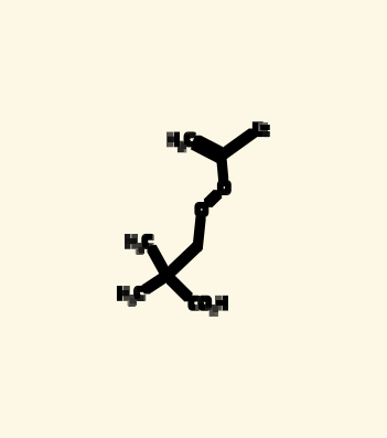 C=C(CC)OOCC(C)(C)C(=O)O